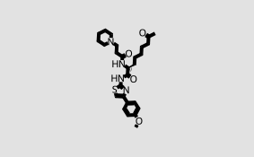 COc1ccc(-c2csc(NC(=O)[C@H](CCCCCC(C)=O)NC(=O)CCN3CCCCC3)n2)cc1